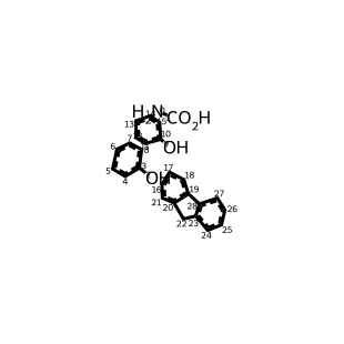 NC(=O)O.Oc1ccccc1.Oc1ccccc1.c1ccc2c(c1)Cc1ccccc1-2